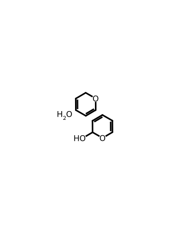 C1=CCOC=C1.O.OC1C=CC=CO1